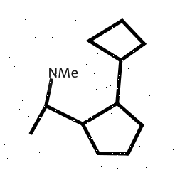 CNC(C)C1CCCC1C1CCC1